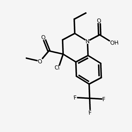 CCC1CC(Cl)(C(=O)OC)c2cc(C(F)(F)F)ccc2N1C(=O)O